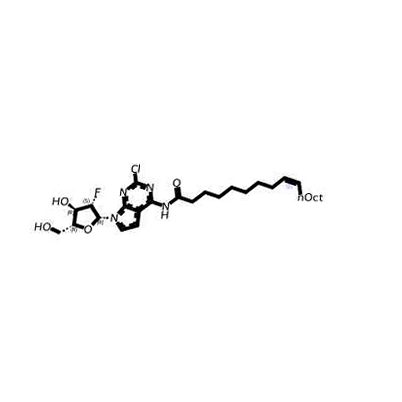 CCCCCCCC/C=C\CCCCCCCC(=O)Nc1nc(Cl)nc2c1ccn2[C@@H]1O[C@H](CO)[C@@H](O)[C@@H]1F